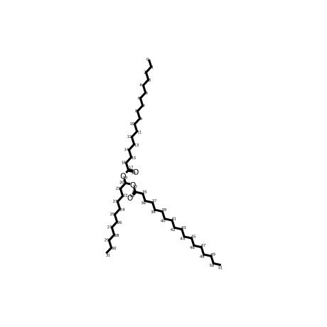 CCCCCCCCCCCCCCCCCC(=O)OC(CCCCCCCCCCC)OC(=O)CCCCCCCCCCCCCCCCC